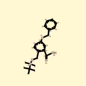 CC(C)(C)[Si](C)(C)OCc1ccc(OCc2ccccc2)cc1C(=O)O